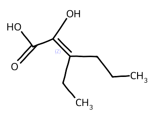 CCC/C(CC)=C(\O)C(=O)O